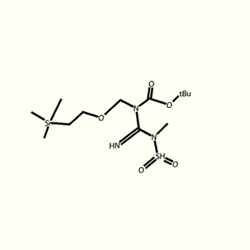 CN(C(=N)N(COCC[Si](C)(C)C)C(=O)OC(C)(C)C)[SH](=O)=O